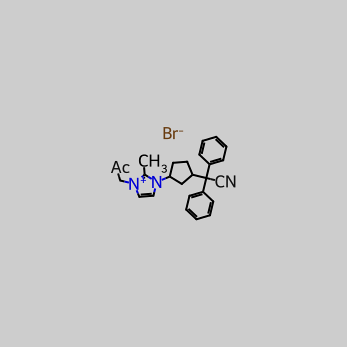 CC(=O)C[n+]1ccn(C2CCC(C(C#N)(c3ccccc3)c3ccccc3)C2)c1C.[Br-]